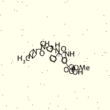 COP(=O)(O)OC(=O)c1ccc2c(c1)NC(=O)/C2=C(\Nc1ccc(N(C)C(=O)CN2CCN(C)CC2)cc1)c1ccccc1